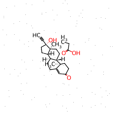 C#C[C@]1(O)CC[C@H]2[C@@H]3CCC4=CC(=O)CC[C@]4(C)[C@H]3CC[C@@]21C.CCC(=O)O